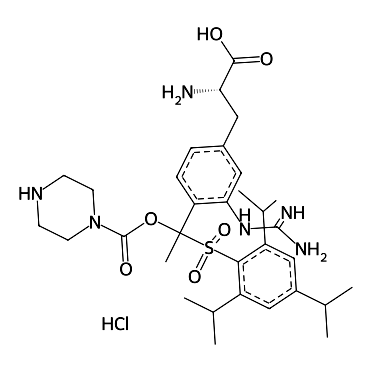 CC(C)c1cc(C(C)C)c(S(=O)(=O)C(C)(OC(=O)N2CCNCC2)c2ccc(C[C@H](N)C(=O)O)cc2NC(=N)N)c(C(C)C)c1.Cl